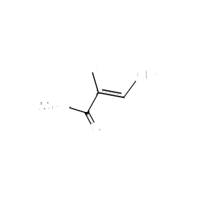 COC(=O)/C(C)=C/C=O